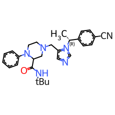 C[C@H](c1ccc(C#N)cc1)n1cncc1CN1CCN(c2ccccc2)C(C(=O)NC(C)(C)C)C1